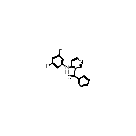 O=C(c1ccccc1)c1cnccc1Nc1cc(F)cc(F)c1